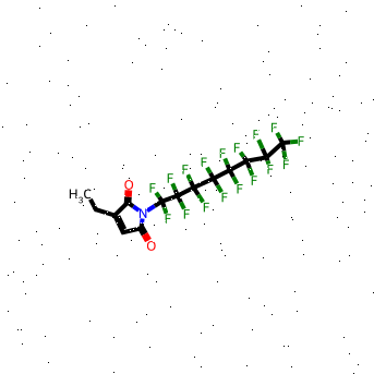 CCC1=CC(=O)N(C(F)(F)C(F)(F)C(F)(F)C(F)(F)C(F)(F)C(F)(F)C(F)(F)C(F)(F)F)C1=O